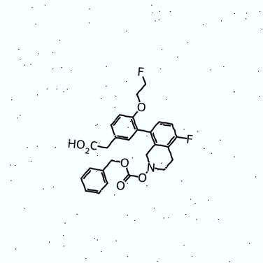 O=C(O)Cc1ccc(OCCF)c(-c2ccc(F)c3c2CN(OC(=O)OCc2ccccc2)CC3)c1